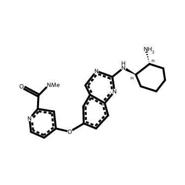 CNC(=O)c1cc(Oc2ccc3nc(N[C@@H]4CCCC[C@H]4N)ncc3c2)ccn1